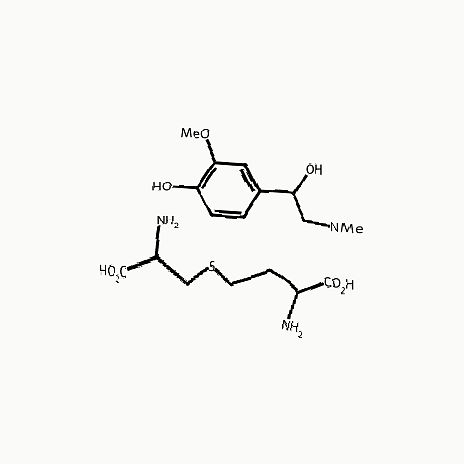 CNCC(O)c1ccc(O)c(OC)c1.NC(CCSCC(N)C(=O)O)C(=O)O